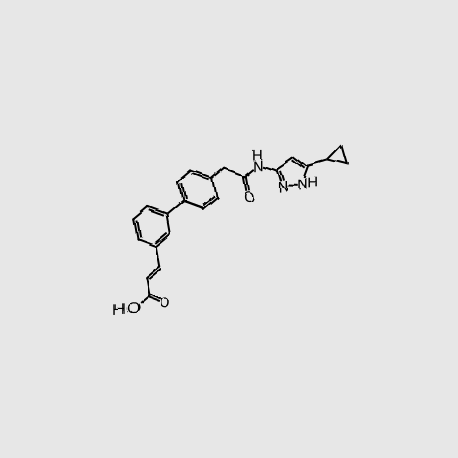 O=C(O)C=Cc1cccc(-c2ccc(CC(=O)Nc3cc(C4CC4)[nH]n3)cc2)c1